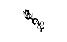 CC(C)OC(=O)N1CC=C(c2ccn3nccc3n2)CC1